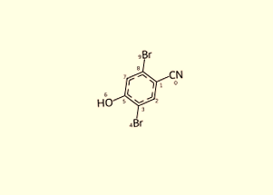 N#Cc1cc(Br)c(O)cc1Br